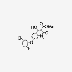 COC(=O)c1c(O)c2ccc(Oc3cc(Cl)ccc3F)cc2n(C)c1=O